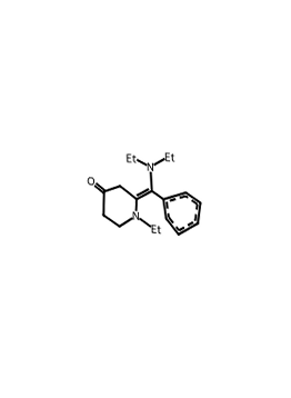 CCN1CCC(=O)CC1=C(c1ccccc1)N(CC)CC